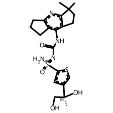 CC1(C)CCc2c1nc1c(c2NC(=O)N=[S@@](N)(=O)c2cc([C@@](C)(O)CO)cs2)CCC1